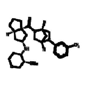 CO[C@@H]1COCC[C@@H]1N[C@@H]1C[C@H]2CCC[C@@]2(C(=O)N2C[C@@H]3C[C@H]2CN3c2cccc(C(F)(F)F)c2)C1